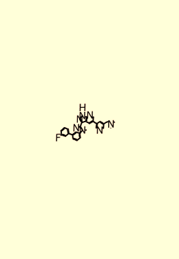 CN(C)Cc1cncc(-c2cnc3[nH]nc(-c4nc5c(-c6cccc(F)c6)cccc5n4C)c3c2)c1